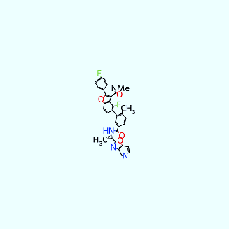 CNC(=O)c1c(-c2ccc(F)cc2)oc2ccc(-c3cc(C(=O)N[C@@H](C)c4nc5cnccc5o4)ccc3C)c(F)c12